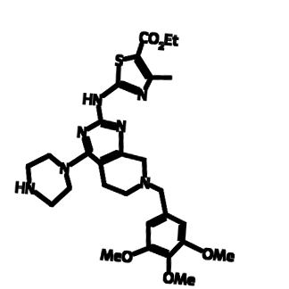 CCOC(=O)c1sc(Nc2nc3c(c(N4CCNCC4)n2)CCN(Cc2cc(OC)c(OC)c(OC)c2)C3)nc1C